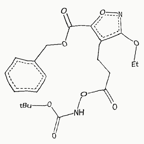 CCOc1noc(C(=O)OCc2ccccc2)c1CCC(=O)ONC(=O)OC(C)(C)C